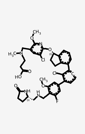 COc1cc(-c2cccc(-c3cccc4c3CC[C@@H]4Oc3nc(OC)c(CN(C)CCC(=O)O)cc3Cl)c2Cl)cc(F)c1CNC[C@@H]1CCC(=O)N1